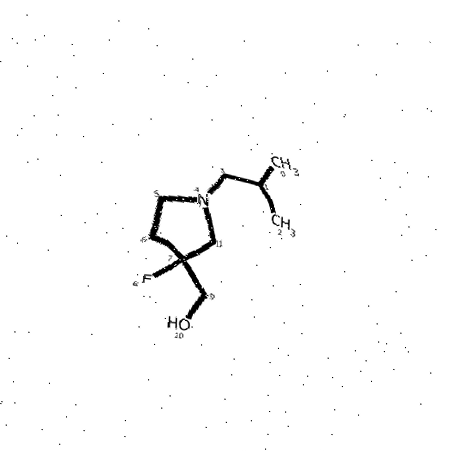 C[C](C)CN1CCC(F)(CO)C1